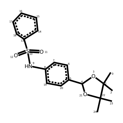 CC1(C)OC(c2ccc(NS(=O)(=O)c3ccccc3)cc2)OC1(C)C